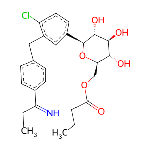 CCCC(=O)OC[C@H]1O[C@@H](c2ccc(Cl)c(Cc3ccc(C(=N)CC)cc3)c2)[C@H](O)[C@@H](O)[C@@H]1O